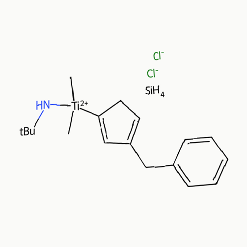 CC(C)(C)[NH][Ti+2]([CH3])([CH3])[C]1=CC(Cc2ccccc2)=CC1.[Cl-].[Cl-].[SiH4]